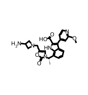 COc1cc(-c2c(C(=O)O)[nH]c3c([C@H](C)n4cc(CN5CC(N)C5)oc4=O)cccc23)ccn1